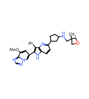 COc1cc(-c2[nH]c3ccc(C4CCC(NCC5(C)COC5)C4)nc3c2C(C)C)cn2ncnc12